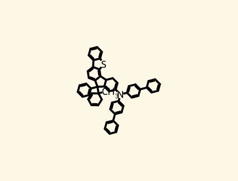 CC1(C2(c3ccccc3)C3=CC(N(c4ccc(-c5ccccc5)cc4)c4ccc(-c5ccccc5)cc4)=CCC3c3c2ccc2c3sc3ccccc32)C=CC=CC1